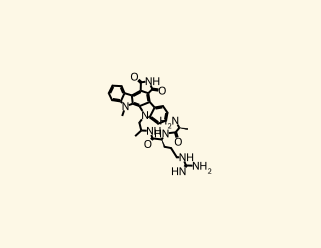 CC(Cn1c2ccccc2c2c3c(c4c5ccccc5n(C)c4c21)C(=O)NC3=O)NC(=O)[C@H](CCCNC(=N)N)NC(=O)[C@H](C)N